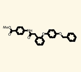 COC(=O)c1ccc(NC(=O)Cc2ccccc2Oc2ccc(OCc3ccccc3)cc2)cc1